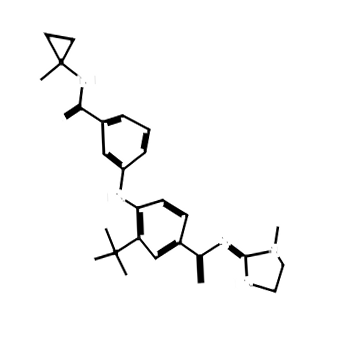 C=C(/N=C1\NCCN1C)c1ccc(Nc2cccc(C(=O)NC3(C)CC3)c2)c(C(C)(C)C)c1